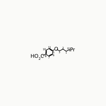 CC(C)CCCOc1ccc(C(=O)O)cc1